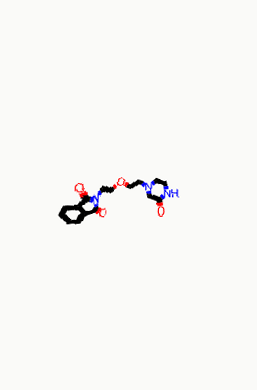 O=C1CN(CCOCCN2C(=O)c3ccccc3C2=O)CCN1